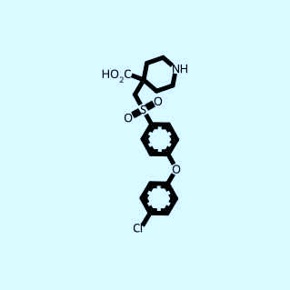 O=C(O)C1(CS(=O)(=O)c2ccc(Oc3ccc(Cl)cc3)cc2)CCNCC1